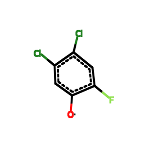 [O]c1cc(Cl)c(Cl)cc1F